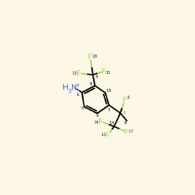 CC(F)(c1ccc(N)c(C(F)(F)F)c1)C(F)(F)F